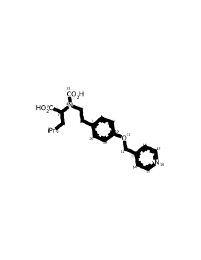 CC(C)CC(C(=O)O)N(CCc1ccc(OCc2ccncc2)cc1)C(=O)O